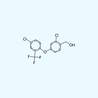 OCc1ccc(Oc2ccc(Cl)cc2C(F)(F)F)cc1Cl